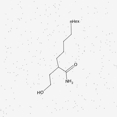 CCCCCCCCCCC(CCO)C(N)=O